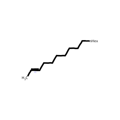 [CH2]CCCCCCCCCCCC/C=[C]/C